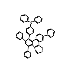 C1=Cc2c(c3cc(-c4ccccc4)ccc3c3c(-c4ccc(N(c5ccccc5)c5ccccc5)cc4)c(-c4ccccc4)cc(-c4ccccc4)c23)CC1